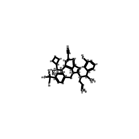 C=CCN(c1nc2nc(C#N)nc(N[C@H](C)C3CCC3)c2n1Cc1ccc(C(F)(F)F)cc1)C(C)c1cccc(F)c1